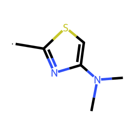 [CH2]c1nc(N(C)C)cs1